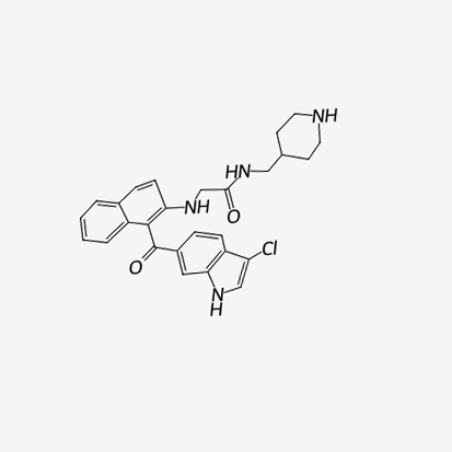 O=C(CNc1ccc2ccccc2c1C(=O)c1ccc2c(Cl)c[nH]c2c1)NCC1CCNCC1